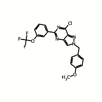 COc1ccc(Cn2cc3nc(-c4cccc(OC(F)(F)F)c4)nc(Cl)c3n2)cc1